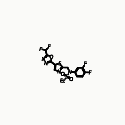 CCS(=O)(=O)N(Cc1ncc(-c2nnc(C(F)F)o2)s1)c1ccc(F)c(F)c1